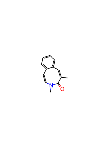 C/C1=C/c2ccccc2/C=C\N(C)C1=O